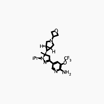 CC(C)N1N=C(c2cnc(N)c(OC(F)(F)F)c2)CC1(C)[C@H]1[C@@H]2CN(C3COC3)C[C@@H]21